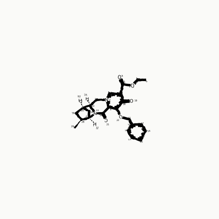 CCOC(=O)c1cn2c(c(OCc3ccccc3)c1=O)C(=O)N1[C@H](C2)[C@H]2C[C@@H]1[C@@H](C)C2